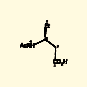 CC[C@@H](CC(=O)O)NC(C)=O